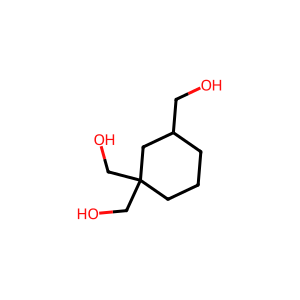 OCC1CCCC(CO)(CO)C1